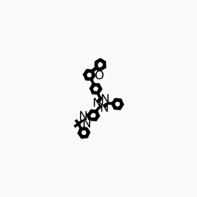 CC1(C)c2ccccc2-n2c1nc1cc(-c3nc(-c4ccccc4)nc(-c4ccc(-c5cccc6c5oc5ccccc56)cc4)n3)ccc12